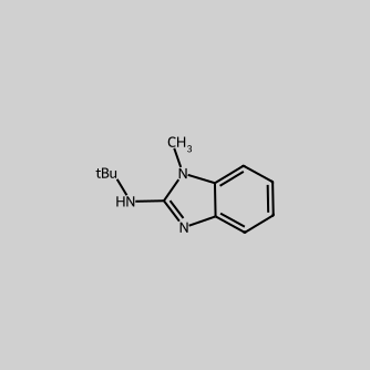 Cn1c(NC(C)(C)C)nc2ccccc21